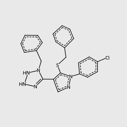 Clc1ccc(-n2ncc(C3=NNNN3Cc3ccccc3)c2SCc2ccccc2)cc1